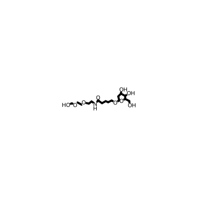 O=C(CCCCOC1CC(O)C(O)C(CO)O1)NCCOCCOCO